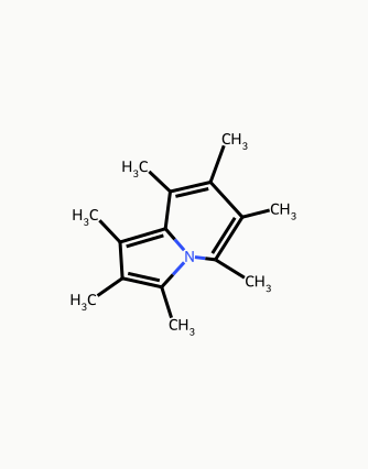 Cc1c(C)c(C)n2c(C)c(C)c(C)c2c1C